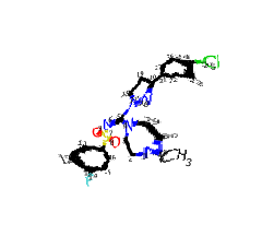 CN1CCN(/C(=N\S(=O)(=O)c2ccc(F)cc2)N2CCC(c3ccc(Cl)cc3)=N2)CC1